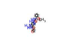 COC[C@@H](NC(=O)Nc1cc(N)c(C(=N)OC2CCOC2)cn1)c1ccccc1